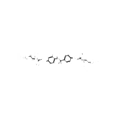 O=C(COc1ccc(NC(=O)c2ccc(OCC(=O)NCCO)cc2)cc1)NCCO